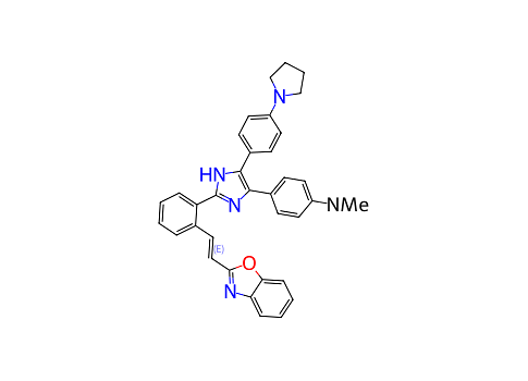 CNc1ccc(-c2nc(-c3ccccc3/C=C/c3nc4ccccc4o3)[nH]c2-c2ccc(N3CCCC3)cc2)cc1